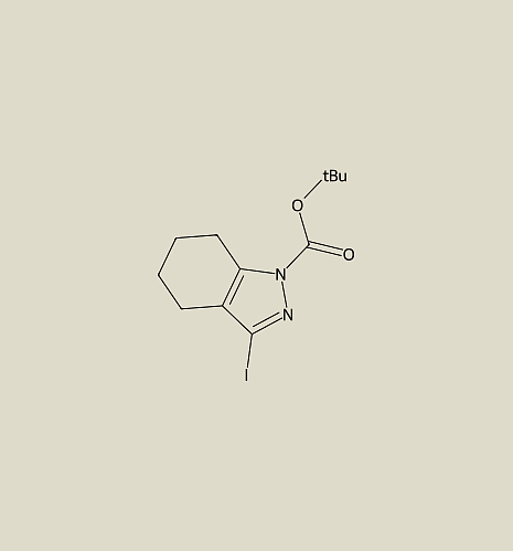 CC(C)(C)OC(=O)n1nc(I)c2c1CCCC2